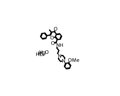 COc1ccccc1N1CCN(CCCNC(=O)c2cccc3c(=O)c(C)c(-c4ccccc4)oc23)CC1.Cl.Cl.O